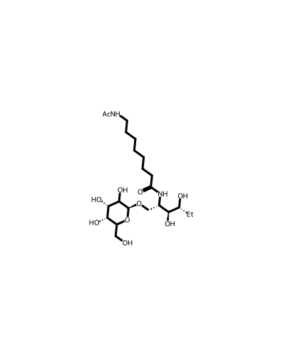 CC[C@@H](O)[C@@H](O)[C@H](CO[C@H]1OC(CO)[C@H](O)[C@H](O)C1O)NC(=O)CCCCCCCNC(C)=O